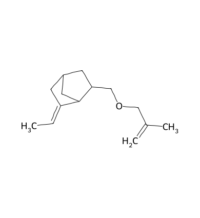 C=C(C)COCC1CC2CC(=CC)C1C2